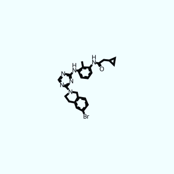 Cc1c(NC(=O)CC2CC2)cccc1Nc1ncnc(N2CCc3cc(Br)ccc3C2)n1